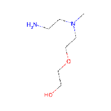 CN(CCN)CCOCCO